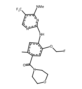 CNc1nc(Nc2cc(C)c(C(=O)N3CCOCC3)cc2OCF)ncc1C(F)(F)F